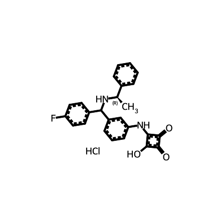 C[C@@H](NC(c1ccc(F)cc1)c1cccc(Nc2c(O)c(=O)c2=O)c1)c1ccccc1.Cl